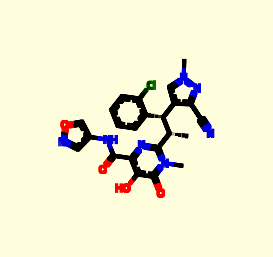 C[C@H](c1nc(C(=O)Nc2cnoc2)c(O)c(=O)n1C)[C@H](c1ccccc1Cl)c1cn(C)nc1C#N